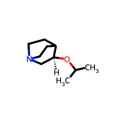 CC(C)O[C@H]1CN2CCC1CC2